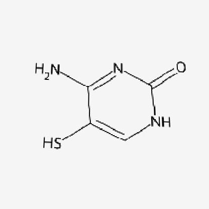 Nc1nc(=O)[nH]cc1S